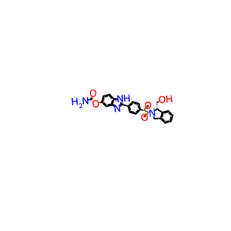 NC(=O)Oc1ccc2[nH]c(-c3ccc(S(=O)(=O)N4Cc5ccccc5[C@H]4CO)cc3)nc2c1